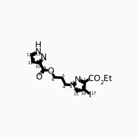 CCOC(=O)c1nn(CCCOC(=O)c2cc[nH]n2)cc1I